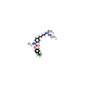 C=CCN(C)CCCCCC1CCC(N(C)C(=O)Oc2ccc(C(F)(F)F)cc2)CC1